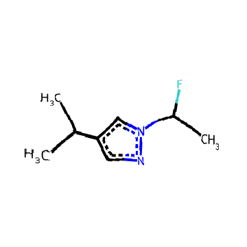 CC(C)c1cnn(C(C)F)c1